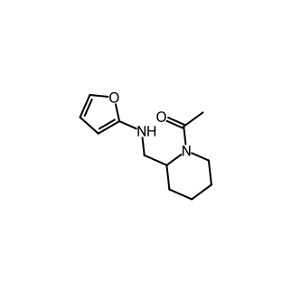 CC(=O)N1CCCCC1CNc1ccco1